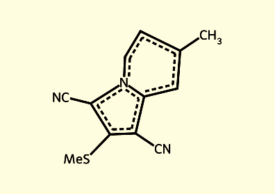 CSc1c(C#N)c2cc(C)ccn2c1C#N